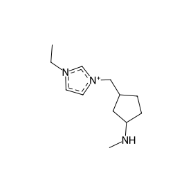 CCn1cc[n+](CC2CCC(NC)C2)c1